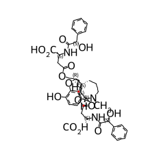 CN1CCC[C@]23c4c5ccc(O)c4O[C@H]2C(OC(=O)C[C@H](NC(=O)[C@@H](O)c2ccccc2)C(=O)O)=CC[C@@]3(OC(=O)C[C@H](NC(=O)[C@@H](O)c2ccccc2)C(=O)O)[C@H]1C5